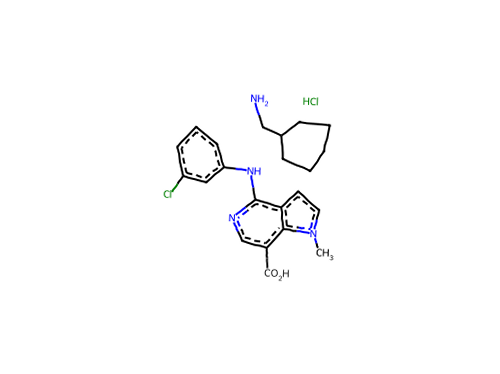 Cl.Cn1ccc2c(Nc3cccc(Cl)c3)ncc(C(=O)O)c21.NCC1CCCCC1